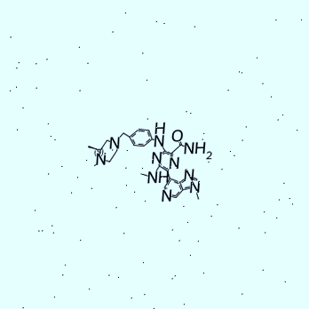 CNc1nc(Nc2ccc(CN3CCN(C)[C@@H](C)C3)cc2)c(C(N)=O)nc1-c1cncc2c1ncn2C